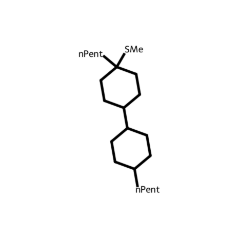 CCCCCC1CCC(C2CCC(CCCCC)(SC)CC2)CC1